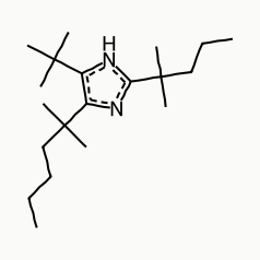 CCCCC(C)(C)c1nc(C(C)(C)CCC)[nH]c1C(C)(C)C